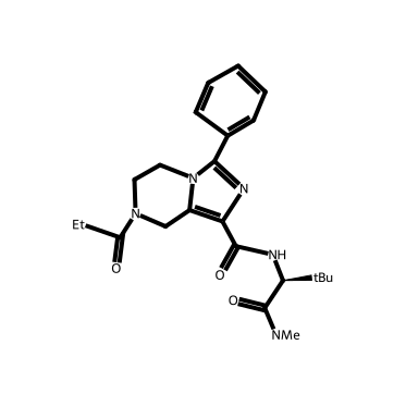 CCC(=O)N1CCn2c(-c3ccccc3)nc(C(=O)N[C@H](C(=O)NC)C(C)(C)C)c2C1